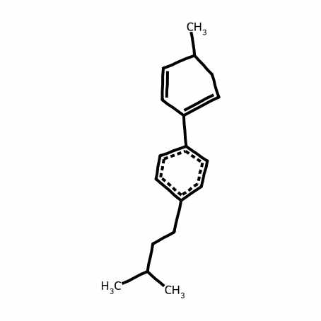 CC(C)CCc1ccc(C2=CCC(C)C=C2)cc1